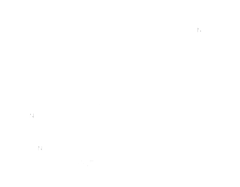 Cc1nc2c(C(=O)O)cc(-c3ccc(-c4ccc(CN5CCCC5)cc4)cc3)cc2[nH]1